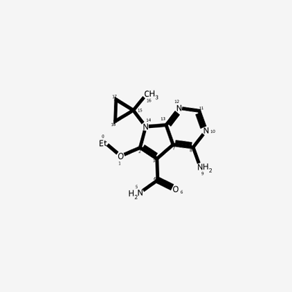 CCOc1c(C(N)=O)c2c(N)ncnc2n1C1(C)CC1